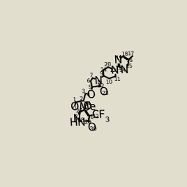 COCC(COC1CCN(C2CCN(c3ncc(C)cn3)CC2)C1=O)Oc1cn[nH]c(=O)c1C(F)(F)F